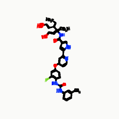 Cc1cccc(NC(=O)Nc2ccc(Oc3ccnc(-c4cc(C(=O)NC(CCO)(C(=O)O)C(CCO)CC(=O)O)c[nH]4)c3)cc2F)c1